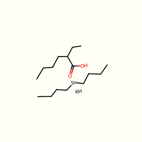 CCCCC(CC)C(=O)O.CCC[CH2][Sn][CH2]CCC.[KH]